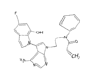 C=CC(=O)N(CCn1cc(-n2ccc3cc(F)cc(O)c32)c2c(N)ncnc21)c1ccccc1